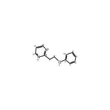 [c]1cccc(OCCc2ncccn2)c1